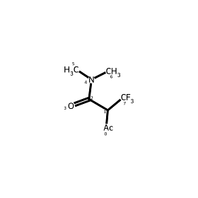 CC(=O)C(C(=O)N(C)C)C(F)(F)F